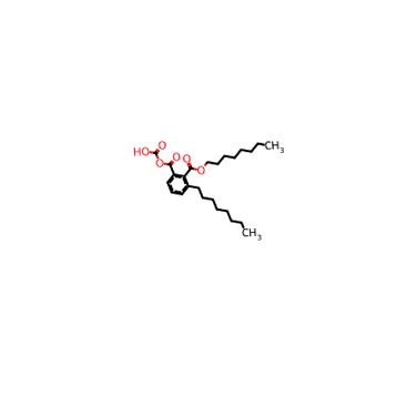 CCCCCCCCOC(=O)c1c(CCCCCCCC)cccc1C(=O)OC(=O)O